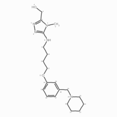 Cn1c(CO)nnc1NCCCCOc1cccc(CN2CCCCC2)c1